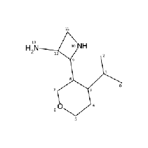 CC(C)C1CCOCC1C1NCC1N